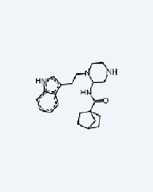 O=C(NC1CNCCN1CCc1c[nH]c2ccccc12)C12CCC(CC1)C2